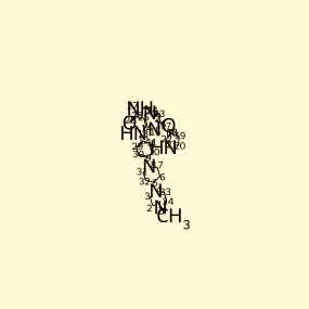 CN1CCN(C2CCN(c3ccc(Nc4nc(O[C@@H]5CCNC5)cnc4C(N)=O)cc3)CC2)CC1